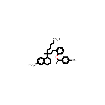 C[C@@H](Oc1ccccc1CCC(C)(CCCCC(=O)O)C1CCCc2cc(C(=O)O)ccc21)c1ccc(C(C)(C)C)cc1